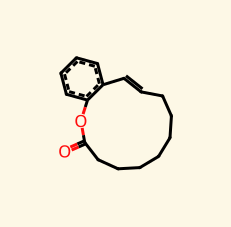 O=C1CCCCCCC/C=C/c2ccccc2O1